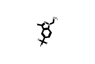 CCn1nc(I)c2cc(C(F)(F)F)ccc21